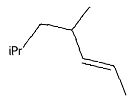 CC=CC(C)CC(C)C